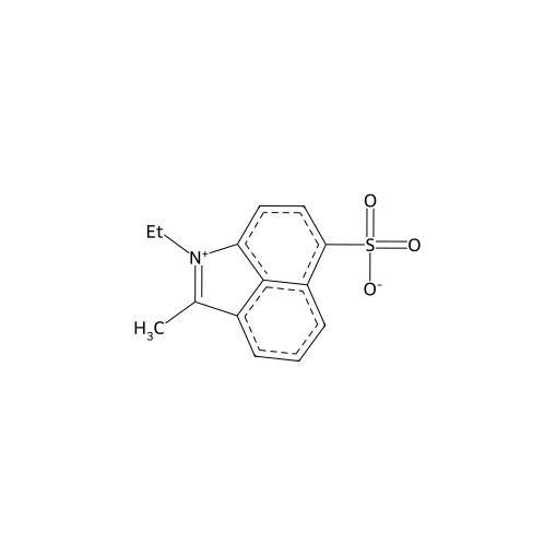 CC[N+]1=C(C)c2cccc3c(S(=O)(=O)[O-])ccc1c23